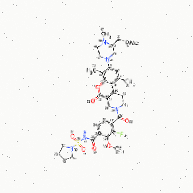 COC[C@H]1CN(c2cc(C)c3c4c(c(=O)oc3c2C)CN(C(=O)c2ccc(C(=O)NS(=O)(=O)N3CCCC3)c(OC(F)(F)F)c2F)CC4)CCN1C